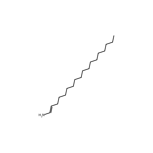 CCCCCCCCCCCCCCCCC=CN